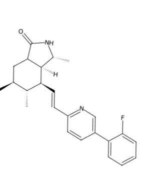 C[C@H]1[C@H](/C=C/c2ccc(-c3ccccc3F)cn2)[C@H]2C(C[C@@H]1C)C(=O)N[C@@H]2C